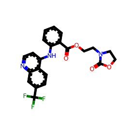 O=C(OCCN1CCOC1=O)c1ccccc1Nc1ccnc2cc(C(F)(F)F)ccc12